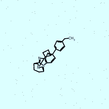 CCc1ccc(-c2ccc3c(c2)nc2n3C3CCC2CN(C2CCC2)C3)cc1